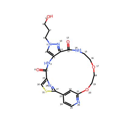 O=C1Nc2cn(CCCO)nc2C(=O)NCCOCCOc2cc(ccn2)-c2nc1cs2